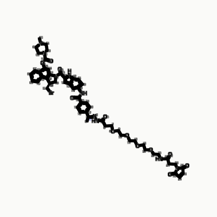 C/C(=N\NC(=O)CCOCCOCCOCCOCCNC(=O)CCN1C(=O)C=CC1=O)c1ccc(C(=O)Nc2ccc3[nH]c(C(=O)N4C[C@@H](CBr)c5c4cc(OC(=O)N4CCN(C)CC4)c4ccccc54)cc3c2)cc1